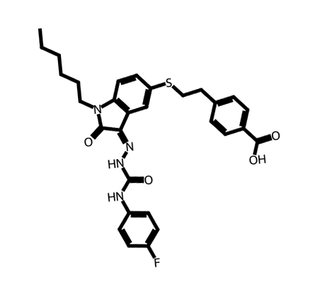 CCCCCCN1C(=O)C(=NNC(=O)Nc2ccc(F)cc2)c2cc(SCCc3ccc(C(=O)O)cc3)ccc21